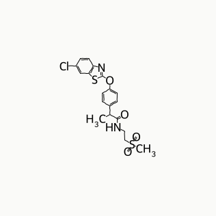 CC(C(=O)NCCS(C)(=O)=O)c1ccc(Oc2nc3ccc(Cl)cc3s2)cc1